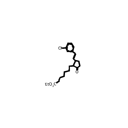 CCOC(=O)CCCCCCC1C(=O)CCC1C=Cc1cccc(Cl)c1